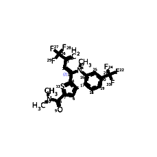 C=C(/C=C(/c1ccc(C(=O)N(C)C)s1)N(C)c1cccc(C(F)(F)F)c1)C(F)(F)F